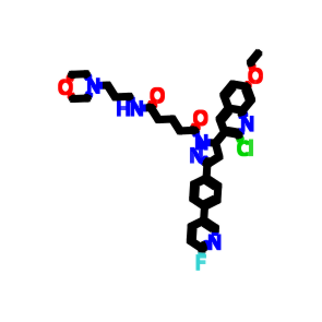 CCOc1ccc2cc(C3CC(c4ccc(-c5ccc(F)nc5)cc4)=NN3C(=O)CCCC(=O)NCCCN3CCOCC3)c(Cl)nc2c1